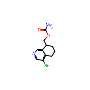 NC(=O)OCC1CCCc2c(Br)cncc21